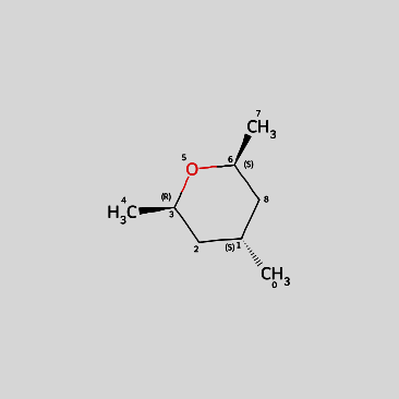 C[C@@H]1C[C@@H](C)O[C@@H](C)C1